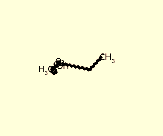 CCCCCCCC/C=C\CCCCCCCCCCCCOP(=O)(O)OCC[N+]1(C)CCCC1